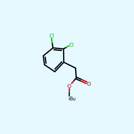 CCC(C)OC(=O)Cc1cccc(Cl)c1Cl